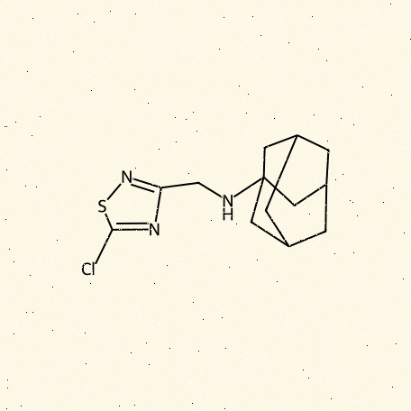 Clc1nc(CNC23CC4CC(CC(C4)C2)C3)ns1